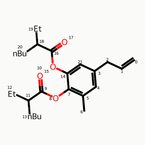 C=CCc1cc(C)c(OC(=O)C(CC)CCCC)c(OC(=O)C(CC)CCCC)c1